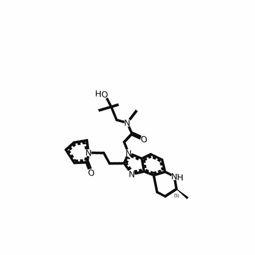 C[C@H]1CCc2c(ccc3c2nc(CCn2ccccc2=O)n3CC(=O)N(C)CC(C)(C)O)N1